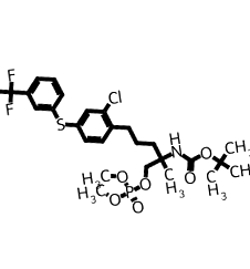 COP(=O)(OC)OCC(C)(CCCc1ccc(Sc2cccc(C(F)(F)F)c2)cc1Cl)NC(=O)OC(C)(C)C